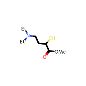 CCN(CC)CCC(S)C(=O)OC